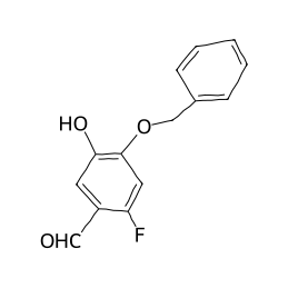 O=Cc1cc(O)c(OCc2ccccc2)cc1F